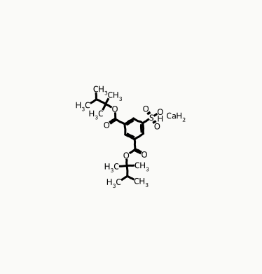 CC(C)C(C)(C)OC(=O)c1cc(C(=O)OC(C)(C)C(C)C)cc(S(=O)(=O)O)c1.[CaH2]